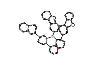 c1ccc(-c2ccc(-c3ccc4ccccc4c3)cc2N(c2ccc3oc4ccccc4c3c2)c2ccccc2-c2ccc3c(c2)oc2ccccc23)cc1